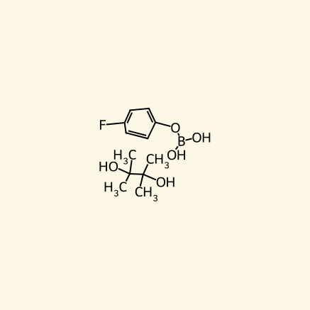 CC(C)(O)C(C)(C)O.OB(O)Oc1ccc(F)cc1